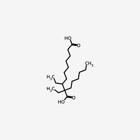 CCCCCCC(CC)(C(=O)O)C(CC)CCCCCCC(=O)O